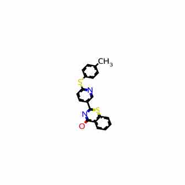 Cc1ccc(Sc2ccc(-c3nc(=O)c4ccccc4s3)cn2)cc1